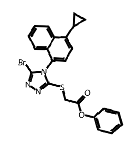 O=C(CSc1nnc(Br)n1-c1ccc(C2CC2)c2ccccc12)Oc1ccccc1